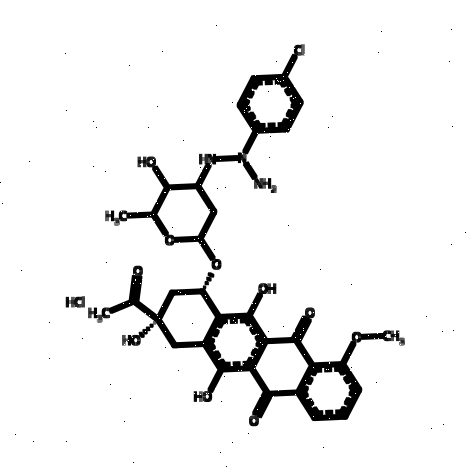 COc1cccc2c1C(=O)c1c(O)c3c(c(O)c1C2=O)C[C@@](O)(C(C)=O)C[C@@H]3OC1CC(NN(N)c2ccc(Cl)cc2)C(O)C(C)O1.Cl